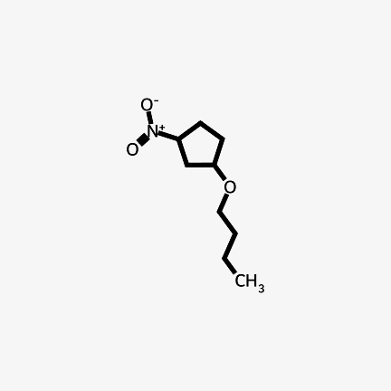 CCCCOC1CCC([N+](=O)[O-])C1